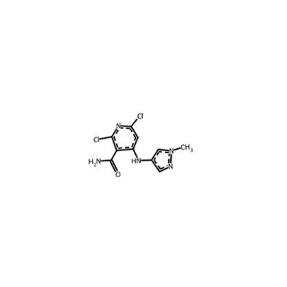 Cn1cc(Nc2cc(Cl)nc(Cl)c2C(N)=O)cn1